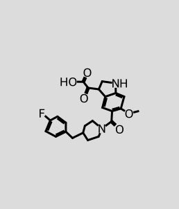 COc1cc2c(cc1C(=O)N1CCC(Cc3ccc(F)cc3)CC1)C(C(=O)C(=O)O)CN2